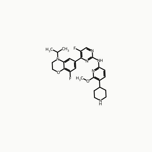 COc1nc(Nc2ncc(F)c(-c3cc(F)c4c(c3)N(C(C)C)CCO4)n2)ccc1C1CCNCC1